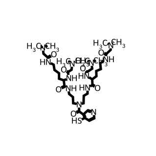 CN(C)CC(=O)NCCCCC(NC(=O)CN(C)C)C(=O)NCCCN(CCCNC(=O)C(CCCCNC(=O)CN(C)C)NC(=O)CN(C)C)C(=O)c1cnccc1S